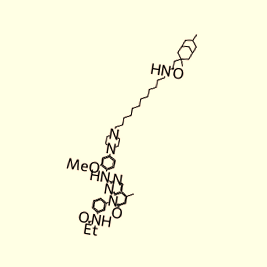 CCC(=O)Nc1cccc(-n2c(=O)cc(C)c3cnc(Nc4ccc(N5CCN(CCCCCCCCCCCCNC(=O)CC6(C)CC7CC(C)CC(C7)C6)CC5)cc4OC)nc32)c1